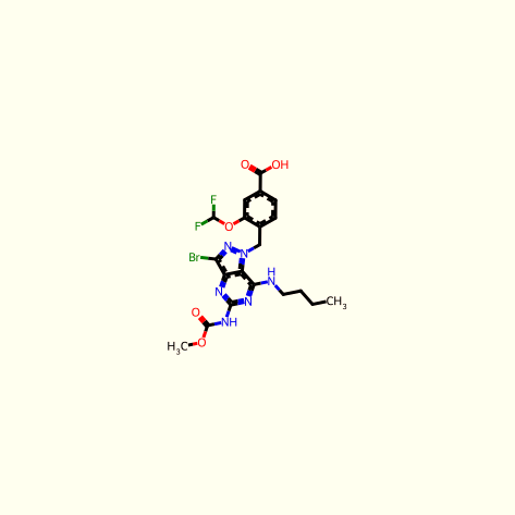 CCCCNc1nc(NC(=O)OC)nc2c(Br)nn(Cc3ccc(C(=O)O)cc3OC(F)F)c12